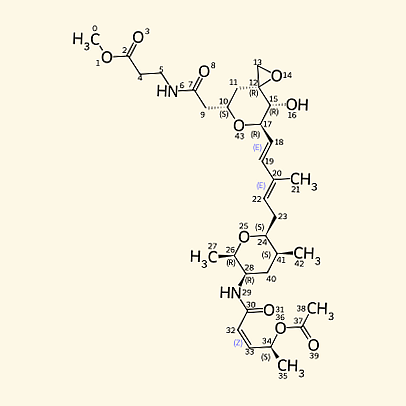 COC(=O)CCNC(=O)C[C@@H]1C[C@@]2(CO2)[C@H](O)[C@@H](/C=C/C(C)=C/C[C@@H]2O[C@H](C)[C@H](NC(=O)/C=C\[C@H](C)OC(C)=O)C[C@@H]2C)O1